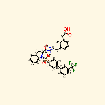 O=C(O)Cc1cccc(CCNC(=O)[C@@H]2Cc3ccccc3N2S(=O)(=O)c2ccc(-c3cccc(C(F)(F)F)c3)cc2)c1